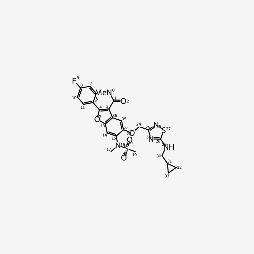 CNC(=O)c1c(-c2ccc(F)cc2)oc2cc(N(C)S(C)(=O)=O)c(OCc3nsc(NCC4CC4)n3)cc12